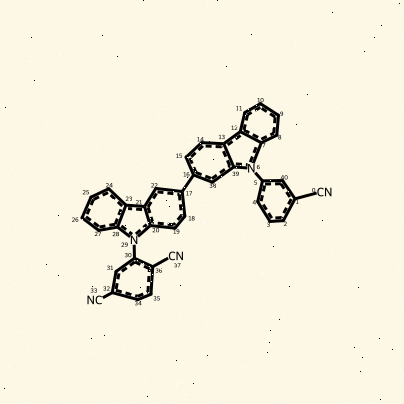 N#Cc1cccc(-n2c3ccccc3c3ccc(-c4ccc5c(c4)c4ccccc4n5-c4cc(C#N)ccc4C#N)cc32)c1